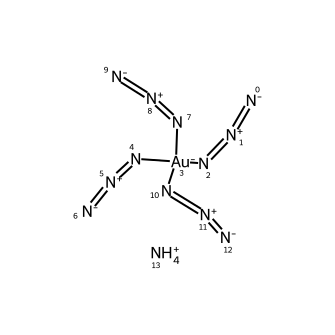 [N-]=[N+]=[N][Au-]([N]=[N+]=[N-])([N]=[N+]=[N-])[N]=[N+]=[N-].[NH4+]